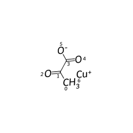 CC(=O)C(=O)[O-].[Cu+]